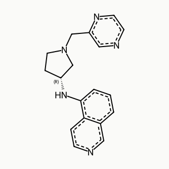 c1cc(N[C@@H]2CCN(Cc3cnccn3)C2)c2ccncc2c1